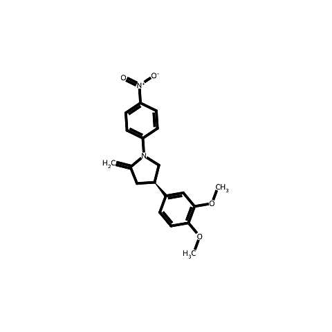 C=C1C[C@H](c2ccc(OC)c(OC)c2)CN1c1ccc([N+](=O)[O-])cc1